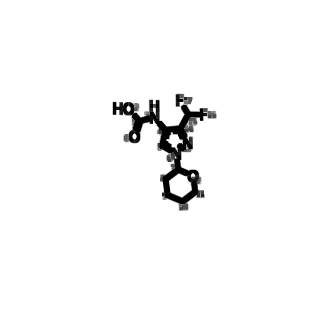 O=C(O)Nc1cn(C2CCCCO2)nc1C(F)F